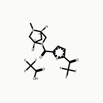 CN1C[C@@H]2C[C@H]1CN2C(=O)c1ccc(C(=O)C(F)(F)F)s1.O=C(O)C(F)(F)F